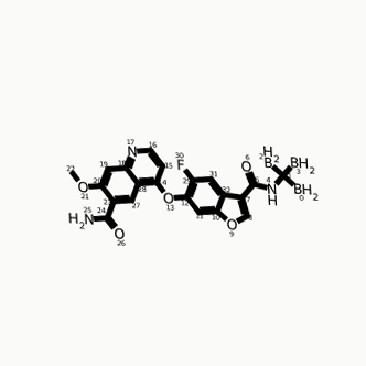 BC(B)(B)NC(=O)c1coc2cc(Oc3ccnc4cc(OC)c(C(N)=O)cc34)c(F)cc12